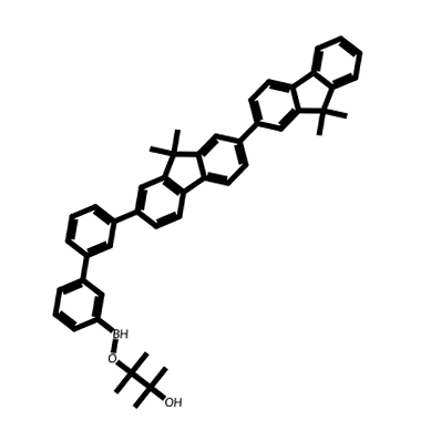 CC1(C)c2ccccc2-c2ccc(-c3ccc4c(c3)C(C)(C)c3cc(-c5cccc(-c6cccc(BOC(C)(C)C(C)(C)O)c6)c5)ccc3-4)cc21